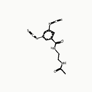 CC(=O)NCCNC(=O)c1cc(N=C=S)cc(N=C=S)c1